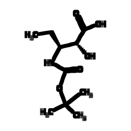 CC[C@H](NC(=O)OC(C)(C)C)[C@@H](O)C(=O)O